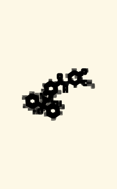 CN1C[C@H](NC(=O)c2ccc3nc(C(O)(c4ccccc4)c4ccccc4)n(C)c3c2)CCC1=O